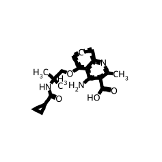 Cc1nc2cccc(OCC(C)(C)NC(=O)C3CC3)c2c(N)c1C(=O)O